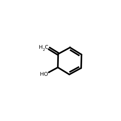 C=C1[C]=CC=CC1O